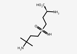 CC(C)(N)CCS(=N)(=O)CC[C@H](N)C(=O)O